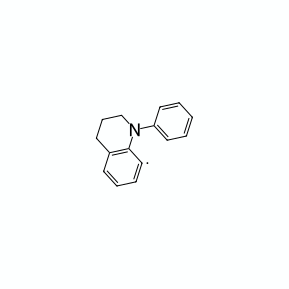 [c]1cccc2c1N(c1ccccc1)CCC2